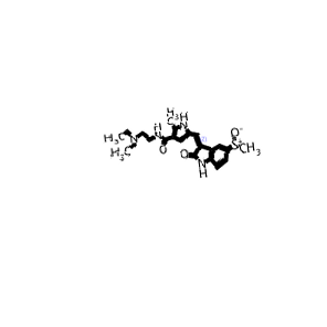 CCN(CC)CCNC(=O)c1cc(/C=C2\C(=O)Nc3ccc([S+](C)[O-])cc32)[nH]c1C